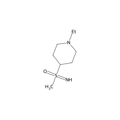 CCN1CCC(S(C)(=N)=O)CC1